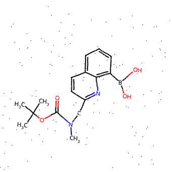 CN(Cc1ccc2cccc(B(O)O)c2n1)C(=O)OC(C)(C)C